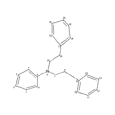 [c]1ccccc1N(CCc1ccccc1)CCc1ccccc1